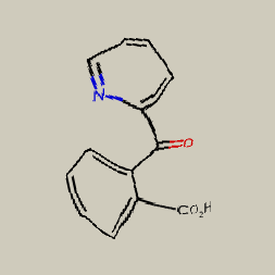 O=C(O)c1ccccc1C(=O)c1ccccn1